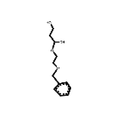 OCCC(O)OCCOCc1ccccc1